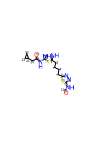 N=C(CCCCc1nnc(NC=O)s1)SC(=N)NC(=O)CC1CC1